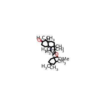 COC(=O)[C@]1(CCC(C)(C)[C@]2(C)CC[C@H]3C(C)(C)C(=O)CC[C@]3(C)/C2=C/C(C)=O)CCC(C)(C)CC1C